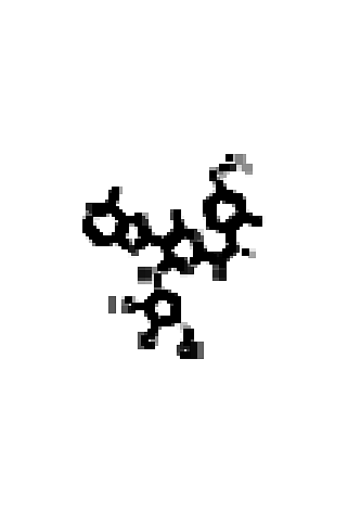 Cc1cc(OC(F)(F)F)ccc1[C@H](C)Nc1nc(C)c(-c2nc3c(C)nccc3s2)c(N[C@@H]2C[C@H](CO)[C@@H](O)[C@H]2O)n1